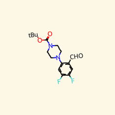 CC(C)(C)OC(=O)N1CCN(c2cc(F)c(F)cc2C=O)CC1